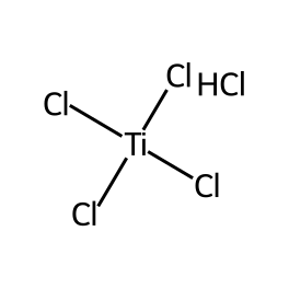 Cl.[Cl][Ti]([Cl])([Cl])[Cl]